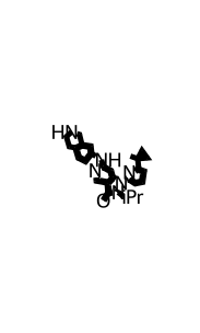 CC(C)n1c(=O)c2cnc(Nc3ccc4c(c3)CNCC4)cc2n1-c1cccc(C2(C)CC2)n1